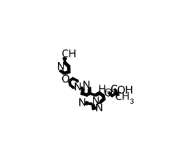 C#Cc1ccc(OC2CCN(c3ccc(-c4cc(OCC(C)(C)O)cc5ncc(C#N)n45)cn3)CC2)cn1